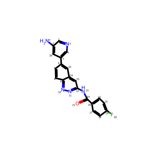 Nc1cncc(-c2ccc3nnc(NC(=O)c4ccc(F)cc4)cc3c2)c1